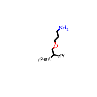 CCCCCC(CCC)COCCCN